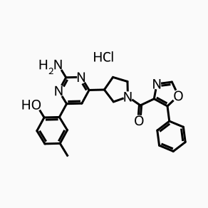 Cc1ccc(O)c(-c2cc(C3CCN(C(=O)c4ncoc4-c4ccccc4)C3)nc(N)n2)c1.Cl